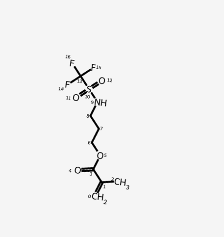 C=C(C)C(=O)OCCCNS(=O)(=O)C(F)(F)F